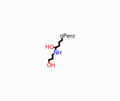 CCCCCCCCC(O)NCCCO